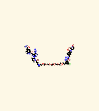 Cc1c(CC(=O)N(C)C)ccc(NC(=O)c2nn([C@@H]3CCCN(C(=O)/C=C/CN(C)CCOCCOCCOCCOCCOCCOCCc4cc(Cl)cc(NC(=O)NCc5ccc6c(c5)CN(C5CCC(=O)NC5=O)C6=O)c4)C3)c3ncnc(N)c23)c1C